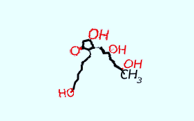 C[C@H](O)CCC[C@@H](O)/C=C/[C@H]1[C@H](O)CC(=O)[C@@H]1CCCCCCCO